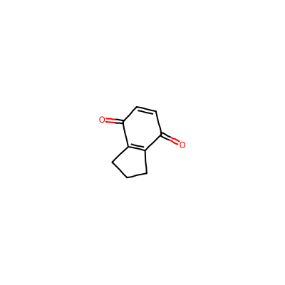 O=C1C=CC(=O)C2=C1CCC2